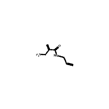 C=CCNC(=O)C(=C)CN